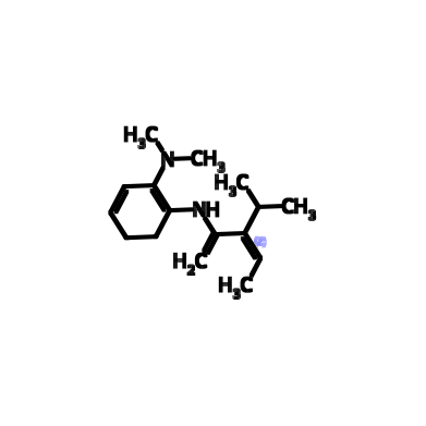 C=C(NC1=C(N(C)C)C=CCC1)/C(=C\C)C(C)C